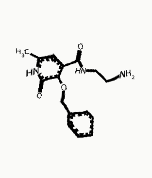 Cc1cc(C(=O)NCCN)c(OCc2ccccc2)c(=O)[nH]1